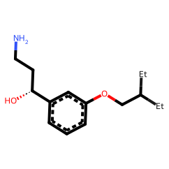 CCC(CC)COc1cccc([C@H](O)CCN)c1